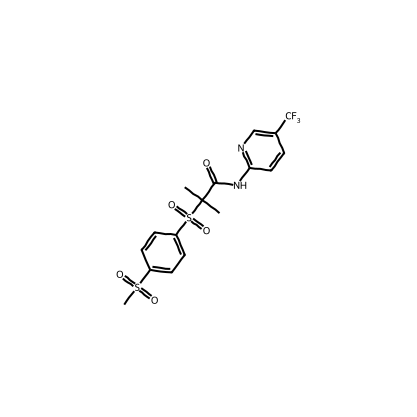 CC(C)(C(=O)Nc1ccc(C(F)(F)F)cn1)S(=O)(=O)c1ccc(S(C)(=O)=O)cc1